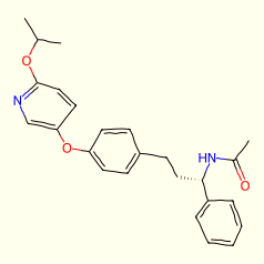 CC(=O)N[C@@H](CCc1ccc(Oc2ccc(OC(C)C)nc2)cc1)c1ccccc1